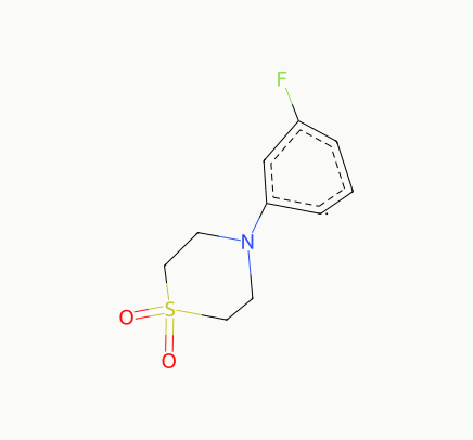 O=S1(=O)CCN(c2[c]ccc(F)c2)CC1